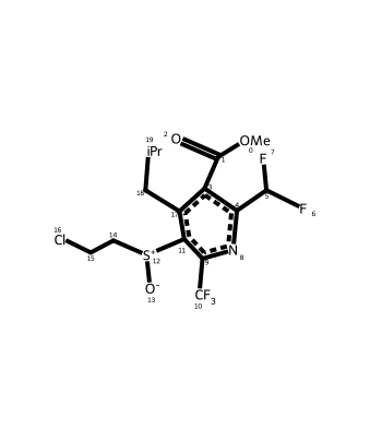 COC(=O)c1c(C(F)F)nc(C(F)(F)F)c([S+]([O-])CCCl)c1CC(C)C